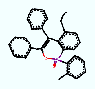 CCc1cccc2c1C(c1ccccc1)=C(c1ccccc1)OP2(=O)c1ccccc1C